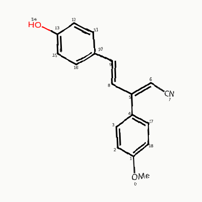 COc1ccc(C(=C\C#N)/C=C/c2ccc(O)cc2)cc1